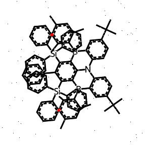 Cc1cc(C)c(B2c3cc(C(C)(C)C)ccc3N3c4ccc(C(C)(C)C)cc4B(c4c(C)cc(C)cc4C)c4c3c2c([Si](c2ccccc2)(c2ccccc2)c2ccccc2)c(-c2ccccc2)c4[Si](c2ccccc2)(c2ccccc2)c2ccccc2)c(C)c1